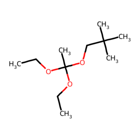 CCOC(C)(OCC)OCC(C)(C)C